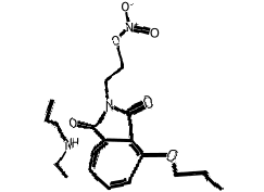 CCCOc1cccc2c1C(=O)N(CCO[N+](=O)[O-])C2=O.CCNCC